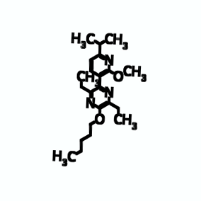 CCCCCOc1nc(CC)c(-c2ccc(C(C)C)nc2OC)nc1CC